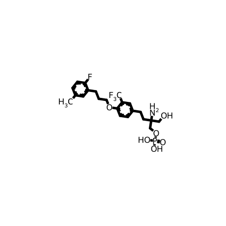 Cc1ccc(F)c(CCCOc2ccc(CCC(N)(CO)COP(=O)(O)O)cc2C(F)(F)F)c1